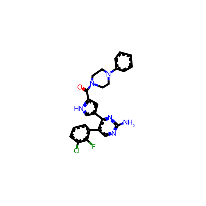 Nc1ncc(-c2cccc(Cl)c2F)c(-c2c[nH]c(C(=O)N3CCN(c4ccccc4)CC3)c2)n1